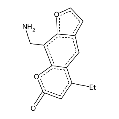 CCc1cc(=O)oc2c(CN)c3occc3cc12